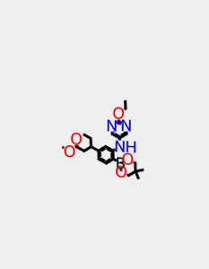 CCOc1ncc(Nc2cc(C(CC)CC(=O)OC)ccc2B2OCC(C)(C)CO2)cn1